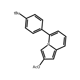 CC(=O)Oc1cc2cccc(-c3ccc(C(C)(C)C)cc3)n2c1